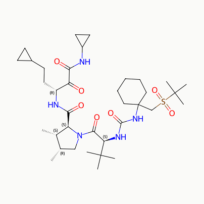 C[C@@H]1[C@@H](C(=O)N[C@H](CCC2CC2)C(=O)C(=O)NC2CC2)N(C(=O)[C@@H](NC(=O)NC2(CS(=O)(=O)C(C)(C)C)CCCCC2)C(C)(C)C)C[C@@H]1C